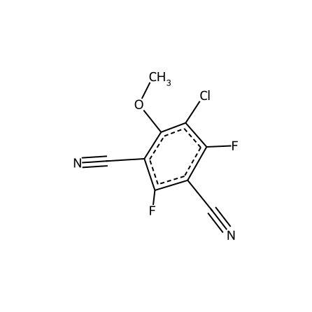 COc1c(Cl)c(F)c(C#N)c(F)c1C#N